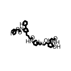 O=C(CCCc1ccc(-c2ccccc2)c(NC(=O)OC23CCN(CC2)CC3)c1)Nc1ccc(CNCC(O)c2ccc(O)c3[nH]c(=O)ccc23)nc1